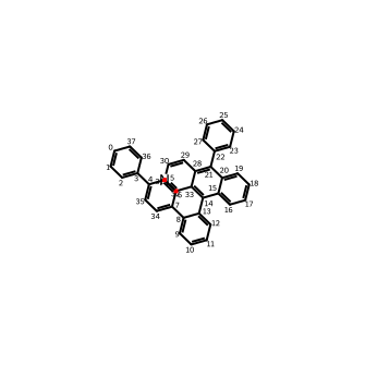 c1ccc(-c2ccc(-c3ccccc3-c3c4ccccc4c(-c4ccccc4)c4ccncc34)cc2)cc1